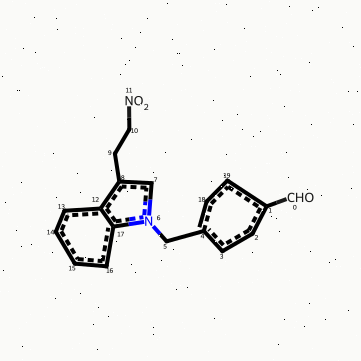 O=Cc1ccc(Cn2cc(CC[N+](=O)[O-])c3ccccc32)cc1